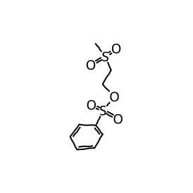 CS(=O)(=O)CCOS(=O)(=O)c1ccccc1